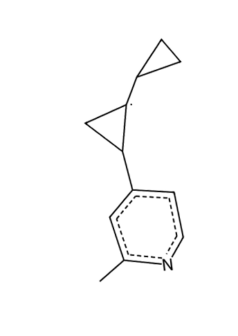 Cc1cc(C2C[C]2C2CC2)ccn1